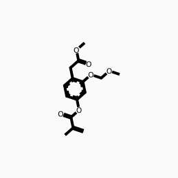 C=C(C)C(=O)Oc1ccc(CC(=O)OC)c(OCOC)c1